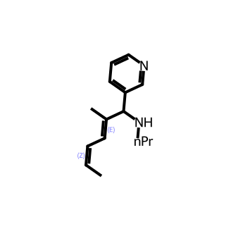 C/C=C\C=C(/C)C(NCCC)c1cccnc1